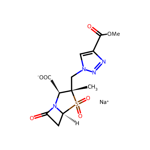 COC(=O)c1cn(C[C@@]2(C)[C@H](C(=O)[O-])N3C(=O)C[C@@H]3S2(=O)=O)nn1.[Na+]